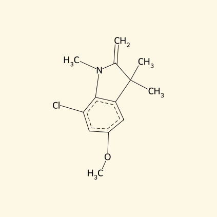 C=C1N(C)c2c(Cl)cc(OC)cc2C1(C)C